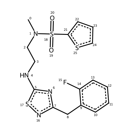 CN(CCNc1nc(Cc2ccccc2F)ns1)S(=O)(=O)c1cccs1